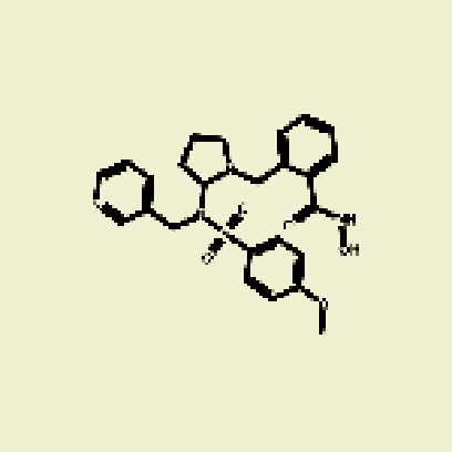 COc1ccc(S(=O)(=O)N(Cc2cccnc2)C2CCCN2Cc2ccccc2C(=O)NO)cc1